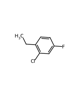 CCc1ccc(F)cc1Cl